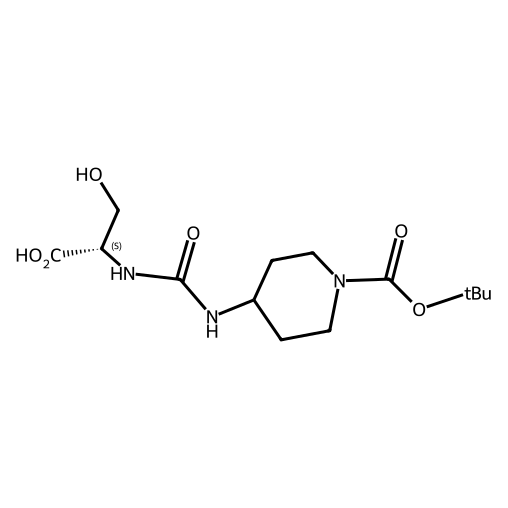 CC(C)(C)OC(=O)N1CCC(NC(=O)N[C@@H](CO)C(=O)O)CC1